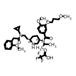 COCCCOc1cc(C(=O)N(C(C)C)[C@@H]2CC[C@H](CCN(C(=O)Cc3ccccc3OC)C3CC3)NC2)ccc1OC.O=C(O)C(F)(F)F